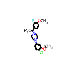 COc1ccc(C(C)N2CCN(c3ccc(Cl)c(OC)c3)CC2)cc1F